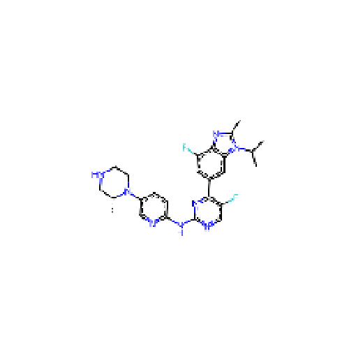 Cc1nc2c(F)cc(-c3nc(Nc4ccc(N5CCNC[C@H]5C)cn4)ncc3F)cc2n1C(C)C